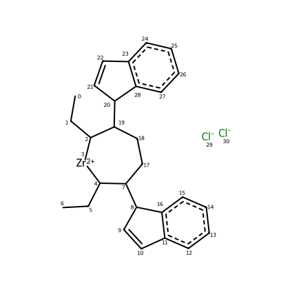 CC[CH]1[Zr+2][CH](CC)C(C2C=Cc3ccccc32)CCC1C1C=Cc2ccccc21.[Cl-].[Cl-]